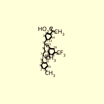 Cc1ccc(CNCCCN(Cc2ccc(C(C)C(=O)O)cc2)Cc2cc(C)cc(C(F)(F)F)c2)cc1